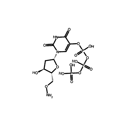 NOC[C@H]1O[C@@H](n2cc(OP(=O)(O)OP(=O)(O)OP(=O)(O)O)c(=O)[nH]c2=O)C[C@@H]1O